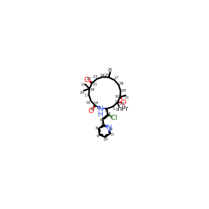 CCCC12CC(C(Cl)=Cc3ccccn3)NC(=O)CCC(C)(C)C(=O)CCC(C)CCCC1(C)O2